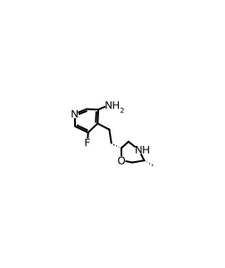 C[C@@H]1CO[C@H](CCc2c(N)cncc2F)CN1